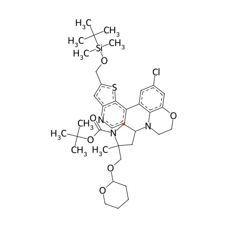 CC(C)(C)OC(=O)N1CC(N2CCOc3cc(Cl)cc(-c4ccnc5cc(CO[Si](C)(C)C(C)(C)C)sc45)c32)CC1(C)COC1CCCCO1